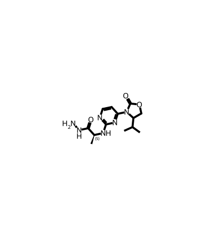 CC(C)C1COC(=O)N1c1ccnc(N[C@@H](C)C(=O)NN)n1